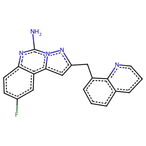 Nc1nc2ccc(F)cc2c2cc(Cc3cccc4cccnc34)nn12